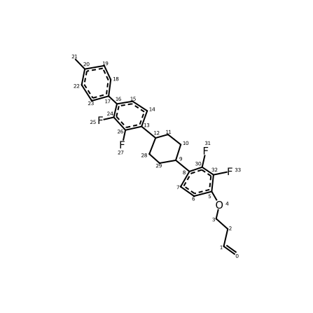 C=CCCOc1ccc(C2CCC(c3ccc(-c4ccc(C)cc4)c(F)c3F)CC2)c(F)c1F